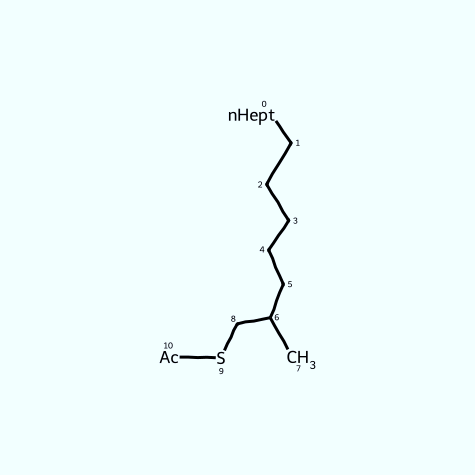 CCCCCCCCCCCCC(C)CSC(C)=O